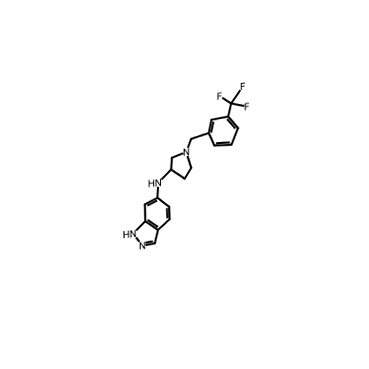 FC(F)(F)c1cccc(CN2CCC(Nc3ccc4cn[nH]c4c3)C2)c1